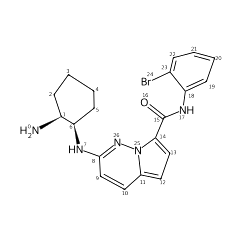 N[C@H]1CCCC[C@H]1Nc1ccc2ccc(C(=O)Nc3ccccc3Br)n2n1